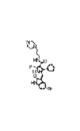 CC(C)c1[nH]c(C=C2C(=O)Nc3ccc(Br)cc32)c(-c2ccccc2)c1C(=O)NCCCN1CCN(C)CC1